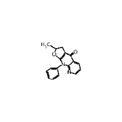 CC1Cc2c(n(-c3ccccc3)c3ncccc3c2=O)O1